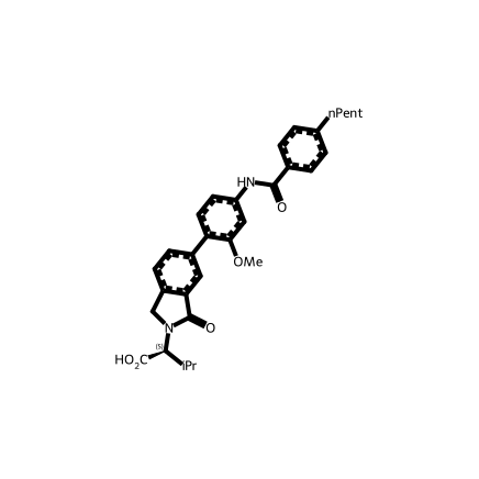 CCCCCc1ccc(C(=O)Nc2ccc(-c3ccc4c(c3)C(=O)N([C@H](C(=O)O)C(C)C)C4)c(OC)c2)cc1